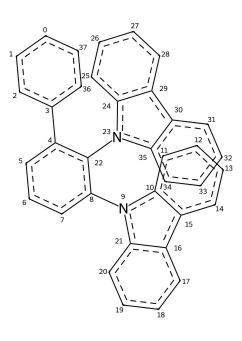 c1ccc(-c2cccc(-n3c4ccccc4c4ccccc43)c2-n2c3ccccc3c3ccccc32)cc1